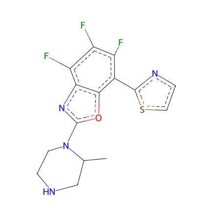 CC1CNCCN1c1nc2c(F)c(F)c(F)c(-c3nccs3)c2o1